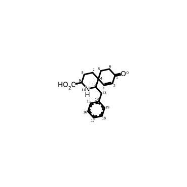 O=C1C=CC2(CC1)CCC(C(=O)O)NC2Cc1ccccc1